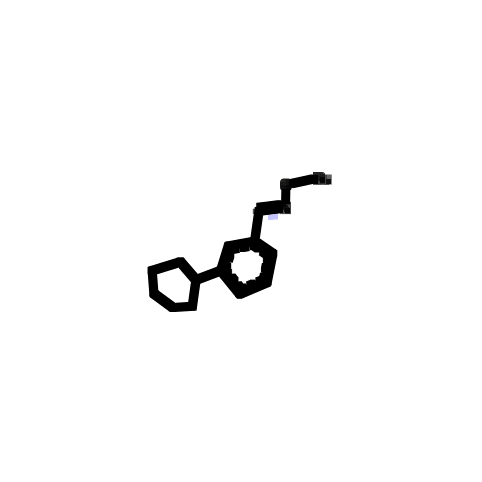 CCC(C)O/N=[C]/c1cccc(C2CCCCC2)c1